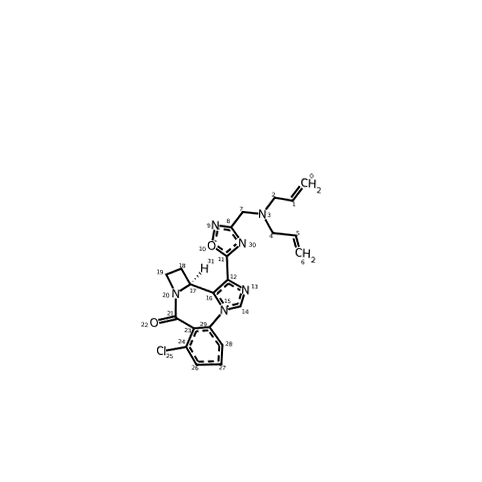 C=CCN(CC=C)Cc1noc(-c2ncn3c2[C@@H]2CCN2C(=O)c2c(Cl)cccc2-3)n1